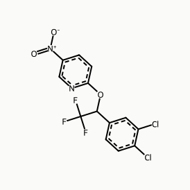 O=[N+]([O-])c1ccc(OC(c2ccc(Cl)c(Cl)c2)C(F)(F)F)nc1